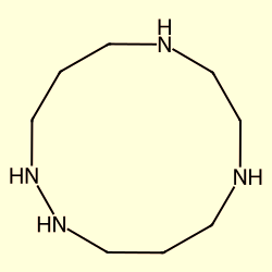 C1CNCCNCCCNNC1